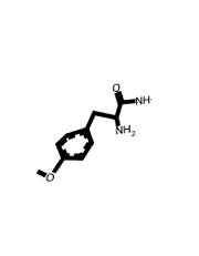 COc1ccc(CC(N)C([NH])=O)cc1